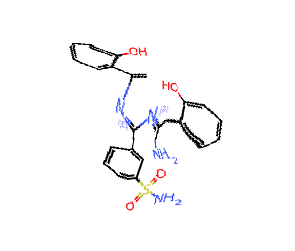 C=C(/N=C(\N=C(/N)c1ccccc1O)c1cccc(S(N)(=O)=O)c1)c1ccccc1O